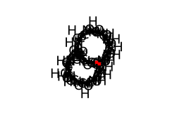 N[C@H]1CSCC(=O)NCCn2c(=O)n3c(=O)n(c2=O)CCNC(=O)CSC[C@H](NC(=O)CNC(=O)CNC(=O)CNC(=O)CNC(=O)CNC1=O)C(=O)NCC(=O)NCC(=O)NCC(=O)NCC(=O)NCC(=O)N[C@H](C(=O)O)CSCC(=O)NCC3